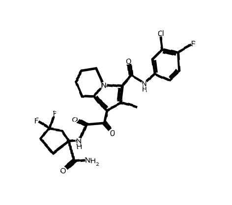 Cc1c(C(=O)C(=O)NC2(C(N)=O)CCC(F)(F)C2)c2n(c1C(=O)Nc1ccc(F)c(Cl)c1)CCCC2